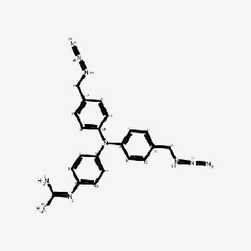 CC(N)=Nc1ccc(N(c2ccc(CN=[N+]=[N-])cc2)c2ccc(CN=[N+]=[N-])cc2)cc1